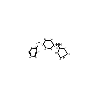 c1ccc(O[C@H]2CC[C@H](NC3CCCCC3)CC2)cc1